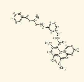 COC(=O)C1=C(C)NC(C)=C(C(=O)NCc2cccc(CNCC(O)COc3ccccc3)c2)C1c1ccc(Cl)cc1